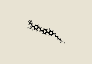 C=CCCCOc1ccc(-c2ccc(CCc3ccc(C(O)CCC)c(F)c3F)cc2)c(F)c1